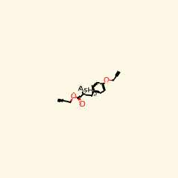 C#CCOC(=O)C([AsH2])Cc1ccc(OCC#C)cc1